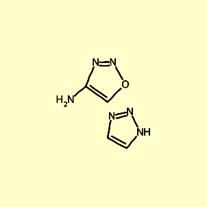 Nc1conn1.c1c[nH]nn1